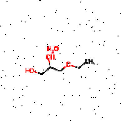 CCOCC(O)CO.O